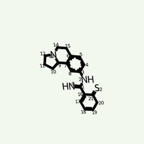 N=C(Nc1ccc2c(c1)C1CCCN1CC2)C1=CC=CCC1=S